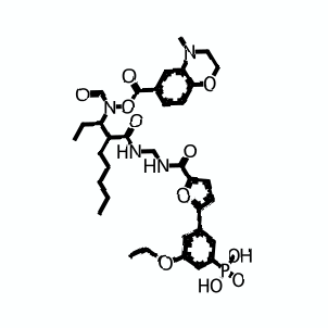 CCCCCC(C(=O)NCNC(=O)c1ccc(-c2cc(OCC)cc(P(=O)(O)O)c2)o1)C(CC)N(C=O)OC(=O)c1ccc2c(c1)N(C)CCO2